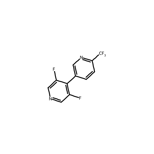 Fc1cncc(F)c1-c1ccc(C(F)(F)F)nc1